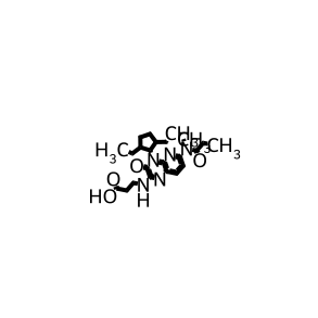 CCC(=O)N(C)c1ccc2nc(NCCC(=O)O)c(=O)n(C3C(CC)CCC3CC)c2n1